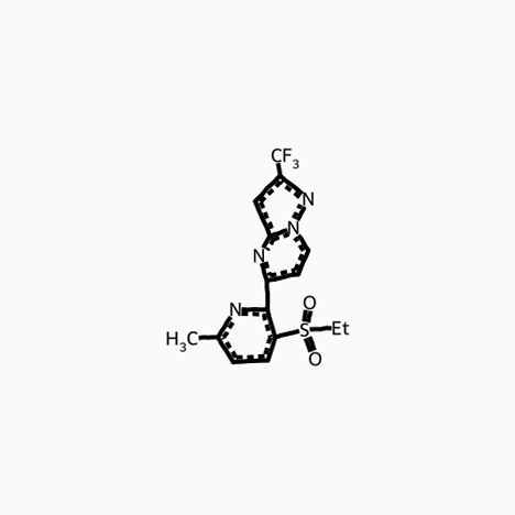 CCS(=O)(=O)c1ccc(C)nc1-c1ccn2nc(C(F)(F)F)cc2n1